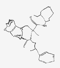 CC(CN1C(=O)c2cc3occc3n2CC1(C)C(=O)NC1CCCCC1C)c1ccccc1